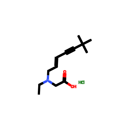 CCN(CC=CC#CC(C)(C)C)CC(=O)O.Cl